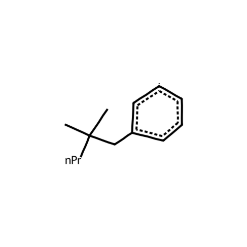 CCCC(C)(C)Cc1c[c]ccc1